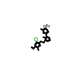 C=Cc1cc(Cl)c(CCc2cccc(-c3ccc(CCC)c(C)c3)c2C)cc1C